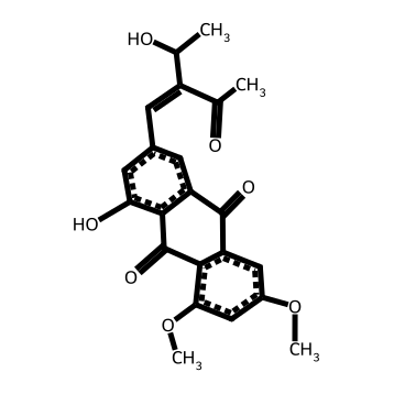 COc1cc(OC)c2c(c1)C(=O)c1cc(C=C(C(C)=O)C(C)O)cc(O)c1C2=O